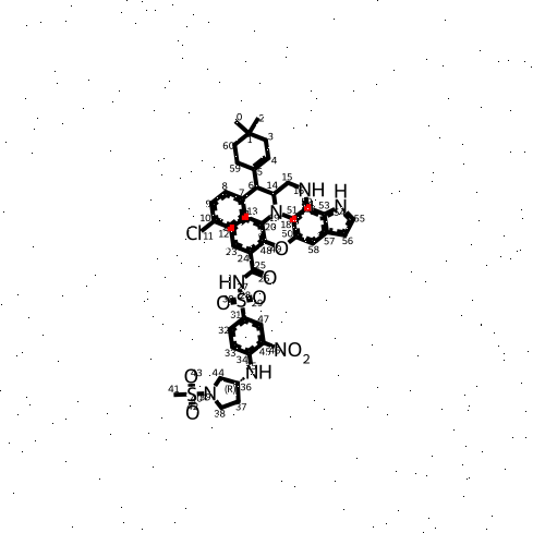 CC1(C)CC=C(C(c2ccc(Cl)cc2)C2CNCCN2c2cccc(C(=O)NS(=O)(=O)c3ccc(N[C@@H]4CCN(S(C)(=O)=O)C4)c([N+](=O)[O-])c3)c2Oc2cnc3[nH]ccc3c2)CC1